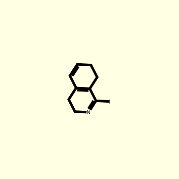 IC1=NCCC2=C1CCC=C2